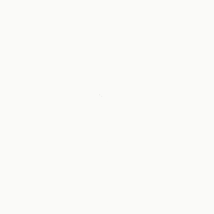 Fc1ccc(-c2cc(Cl)c3cccc(Cl)c3n2)cc1